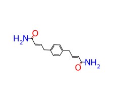 NC(=O)C=CCc1ccc(CC=CC(N)=O)cc1